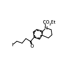 CCOC(=O)N1CCCc2cc(C(=O)CCCI)ccc21